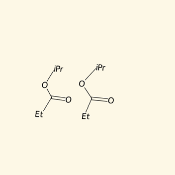 CCC(=O)OC(C)C.CCC(=O)OC(C)C